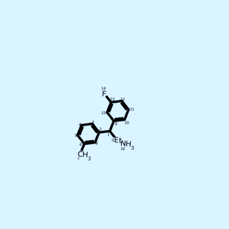 CCC(c1cccc(C)c1)c1cccc(F)c1.N